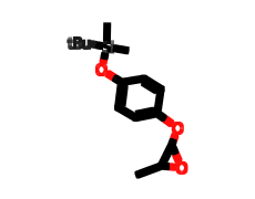 CC1OC1Oc1ccc(O[Si](C)(C)C(C)(C)C)cc1